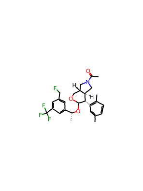 CC(=O)N1C[C@H]2CO[C@H](O[C@H](C)c3cc(CF)cc(C(F)(F)F)c3)[C@@H](c3cc(C)ccc3C)[C@@H]2C1